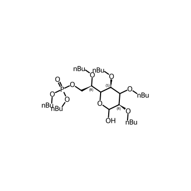 CCCCOC1[C@@H](OCCCC)C(O)OC([C@@H](COP(=O)(OCCCC)OCCCC)OCCCC)[C@H]1OCCCC